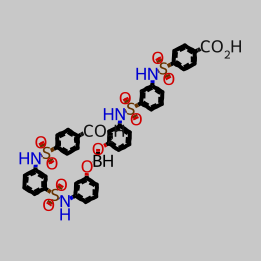 O=C(O)c1ccc(S(=O)(=O)Nc2cccc(S(=O)(=O)Nc3cccc(OBOc4cccc(NS(=O)(=O)c5cccc(NS(=O)(=O)c6ccc(C(=O)O)cc6)c5)c4)c3)c2)cc1